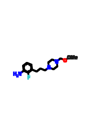 COOCN1CCN(CCCc2cccc(N)c2F)CC1